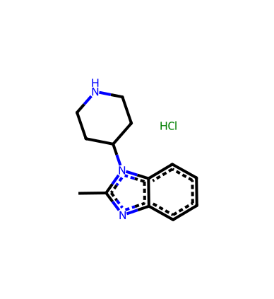 Cc1nc2ccccc2n1C1CCNCC1.Cl